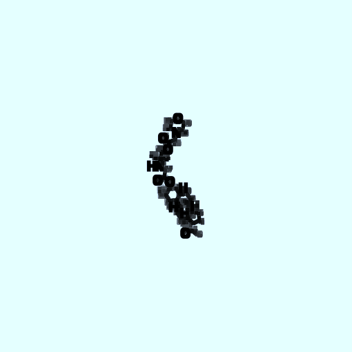 CC(=O)[C@H]1CC[C@H]2[C@@H]3CC[C@H]4C[C@](C)(OC(=O)CNC(C)(C)COC(=O)CN5CCOCC5)CC[C@]4(C)[C@H]3CC[C@]12C